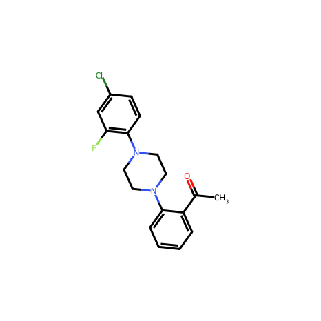 CC(=O)c1ccccc1N1CCN(c2ccc(Cl)cc2F)CC1